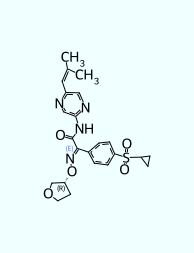 CC(C)=Cc1cnc(NC(=O)/C(=N/O[C@@H]2CCOC2)c2ccc(S(=O)(=O)C3CC3)cc2)cn1